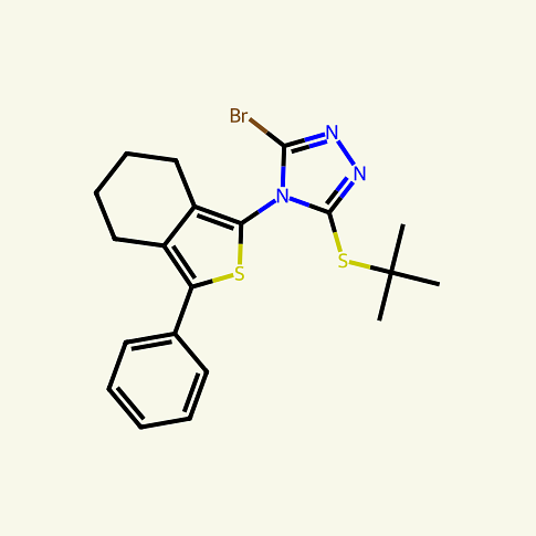 CC(C)(C)Sc1nnc(Br)n1-c1sc(-c2ccccc2)c2c1CCCC2